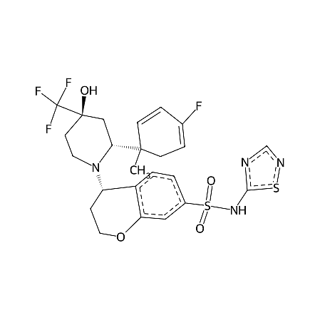 CC1([C@H]2C[C@@](O)(C(F)(F)F)CCN2[C@H]2CCOc3cc(S(=O)(=O)Nc4ncns4)ccc32)C=CC(F)=CC1